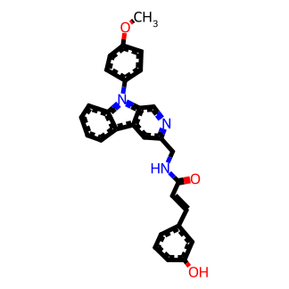 COc1ccc(-n2c3ccccc3c3cc(CNC(=O)/C=C/c4cccc(O)c4)ncc32)cc1